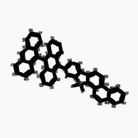 C[Si]1(C)c2cc(-c3c4ccccc4c(-c4c5ccccc5cc5ccccc45)c4ccccc34)ccc2-c2ccc3c(ccc4ccccc43)c21